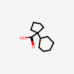 O=C(O)C1(C2CCCCC2)CCCC1